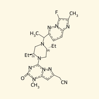 CC[C@H]1CN(C(C)c2ccc3nc(C)c(F)n3n2)[C@H](CC)CN1c1nc(=O)n(C)c2cc(CC#N)nn12